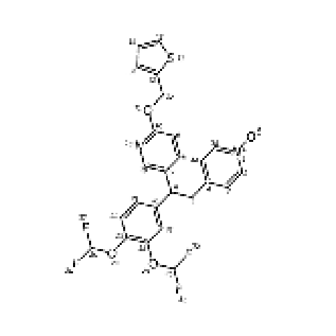 [O-][n+]1ccc(CC(c2ccc(OCc3cccs3)nc2)c2ccc(OC(F)F)c(OC(F)F)c2)cc1